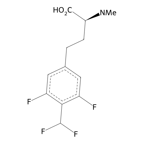 CN[C@@H](CCc1cc(F)c(C(F)F)c(F)c1)C(=O)O